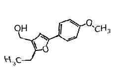 CCc1oc(-c2ccc(OC)cc2)cc1CO